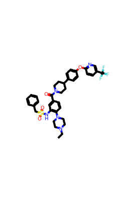 CCN1CCN(c2ccc(C(=O)N3CCC(c4ccc(Oc5ccc(C(F)(F)F)cn5)cc4)CC3)cc2NS(=O)(=O)Cc2ccccc2)CC1